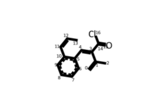 C=C(C)/C(=C\c1ccccc1/C=C\C)C(=O)Cl